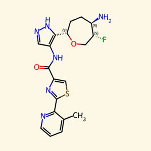 Cc1cccnc1-c1nc(C(=O)Nc2cn[nH]c2[C@@H]2CC[C@@H](N)[C@H](F)CO2)cs1